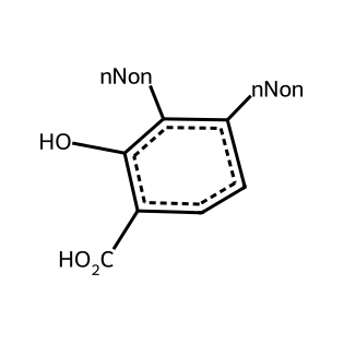 CCCCCCCCCc1ccc(C(=O)O)c(O)c1CCCCCCCCC